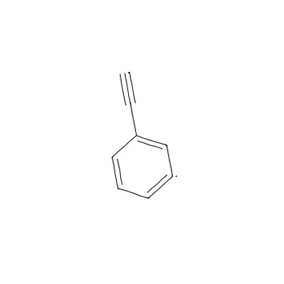 [C]#Cc1c[c]ccc1